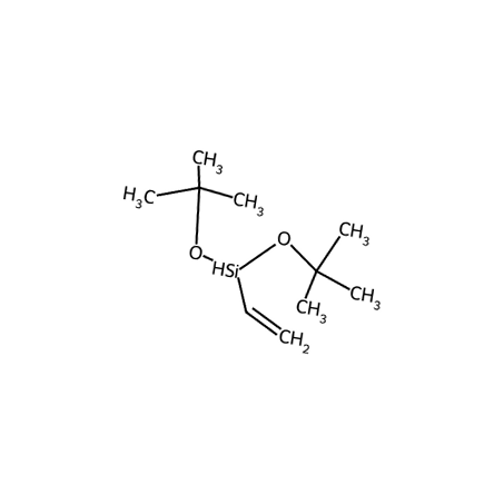 C=C[SiH](OC(C)(C)C)OC(C)(C)C